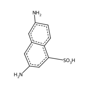 Nc1ccc2c(S(=O)(=O)O)cc(N)cc2c1